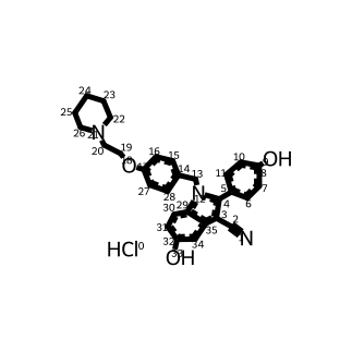 Cl.N#Cc1c(-c2ccc(O)cc2)n(Cc2ccc(OCCN3CCCCC3)cc2)c2ccc(O)cc12